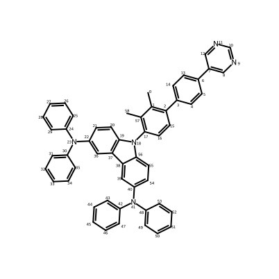 Cc1c(-c2ccc(-c3cncnc3)cc2)ccc(-n2c3ccc(N(c4ccccc4)c4ccccc4)cc3c3cc(N(c4ccccc4)c4ccccc4)ccc32)c1C